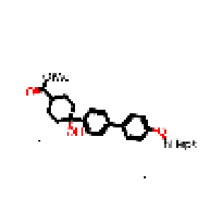 CCCCCCCOc1ccc(-c2ccc(C3(O)CCC(C(=O)OC)CC3)cc2)cc1